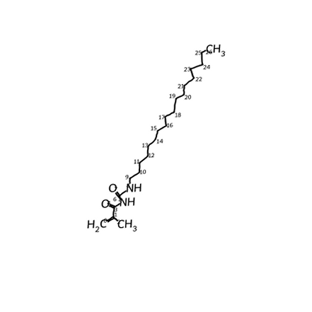 C=C(C)C(=O)NC(=O)NCCCCCCCCCCCCCCCCCC